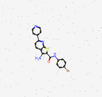 Nc1c(C(=O)Nc2ccc(Br)cc2)sc2nc(-c3ccncc3)ccc12